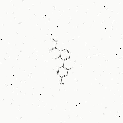 COC(=O)c1cccc(-c2ccc(O)cc2C)c1C